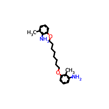 Cc1cccc(OCCCCCCCCOc2cccc(N)c2C)c1N